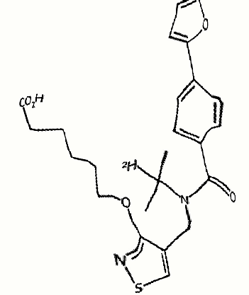 [2H]C(C)(C)N(Cc1csnc1OCCCCCC(=O)O)C(=O)c1ccc(-c2ccco2)cc1